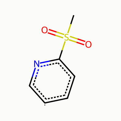 CS(=O)(=O)c1cc[c]cn1